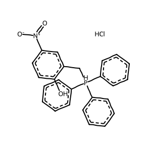 Cl.O=[N+]([O-])c1ccc(O)c(C[PH](c2ccccc2)(c2ccccc2)c2ccccc2)c1